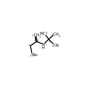 C=C(CC(C)(C)C)NC(C)(C#N)C#N